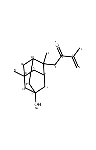 C=C(C)C(=O)CC1(C)C2CC3(C)CC1CC(O)(C2)C3